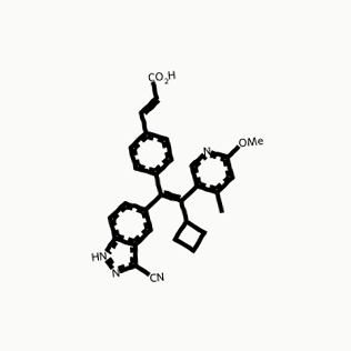 COc1cc(C)c(C(=C(c2ccc(C=CC(=O)O)cc2)c2ccc3[nH]nc(C#N)c3c2)C2CCC2)cn1